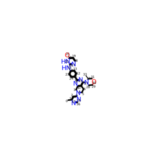 Cc1cc(N2CCc3c(nc(-c4ccc(Nc5nccc(=O)[nH]5)cc4)nc3N3CCOC[C@@H]3C)C2)ncn1